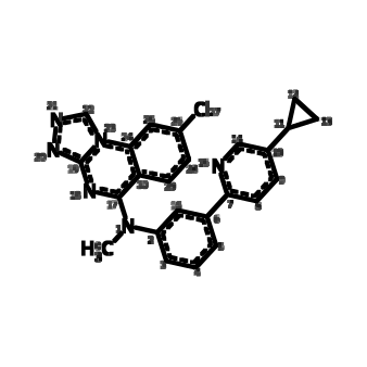 CN(c1cccc(-c2ccc(C3CC3)cn2)c1)c1nc2nncn2c2cc(Cl)ccc12